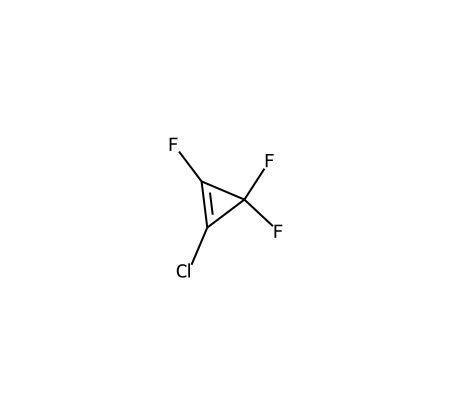 FC1=C(Cl)C1(F)F